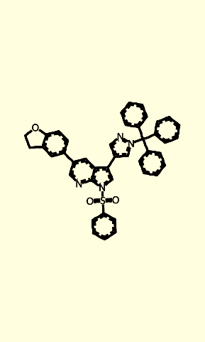 O=S(=O)(c1ccccc1)n1cc(-c2cnn(C(c3ccccc3)(c3ccccc3)c3ccccc3)c2)c2cc(-c3ccc4c(c3)CCO4)cnc21